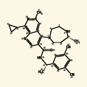 Cc1cc2c(N3CCN[C@H](C)CC3)c(C(=O)N[C@@H](C)c3cc(C#N)cc(C#N)c3)cnc2c(C2CC2)n1